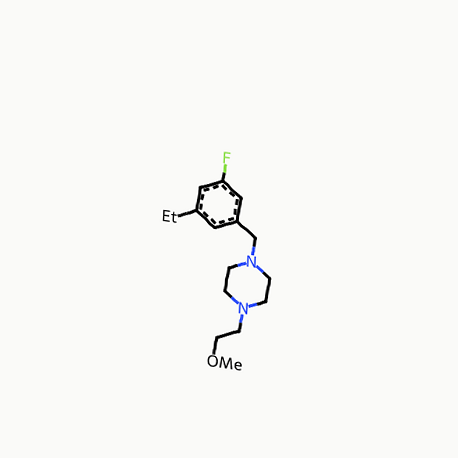 CCc1cc(F)cc(CN2CCN(CCOC)CC2)c1